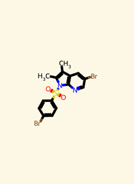 Cc1c(C)n(S(=O)(=O)c2ccc(Br)cc2)c2ncc(Br)cc12